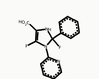 O=C(O)C1=C(F)N(c2ccccn2)C(F)(c2ccccc2)N1